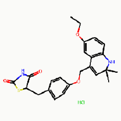 CCOc1ccc2c(c1)C(COc1ccc(CC3SC(=O)NC3=O)cc1)=CC(C)(C)N2.Cl